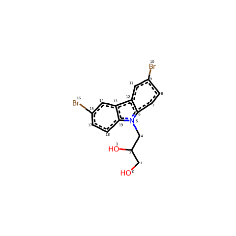 OCC(O)Cn1c2ccc(Br)cc2c2cc(Br)ccc21